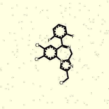 Fc1cccc(F)c1C1=NCc2nc(CCl)cn2-c2cc(Cl)c(Cl)cc21